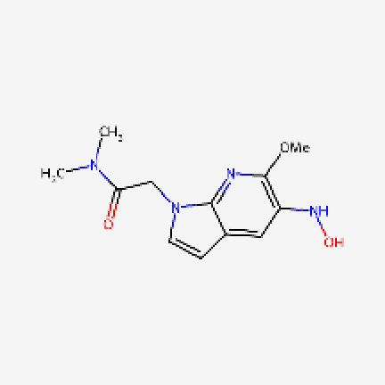 COc1nc2c(ccn2CC(=O)N(C)C)cc1NO